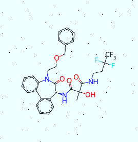 CC(O)(C(=O)NCCC(F)(F)C(F)(F)F)C(=O)N[C@@H]1C(=O)N(CCOCc2ccccc2)c2ccccc2-c2ccccc21